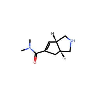 CN(C)C(=O)C1=C[C@@H]2CNC[C@@H]2C1